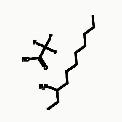 CCCCCCCCC(N)CC.O=C(O)C(F)(F)F